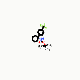 CC(C)(C)OC(=O)N[C@]1(c2ccc(C(F)(F)F)cc2)CCCCC1=O